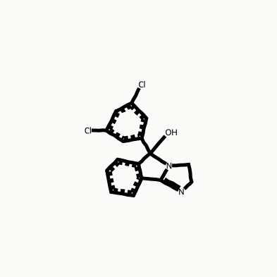 OC1(c2cc(Cl)cc(Cl)c2)c2ccccc2C2=NCCN21